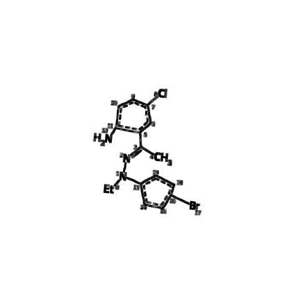 CCN(/N=C(\C)c1cc(Cl)ccc1N)c1ccc(Br)cc1